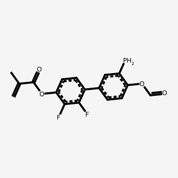 C=C(C)C(=O)Oc1ccc(-c2ccc(OC=O)c(P)c2)c(F)c1F